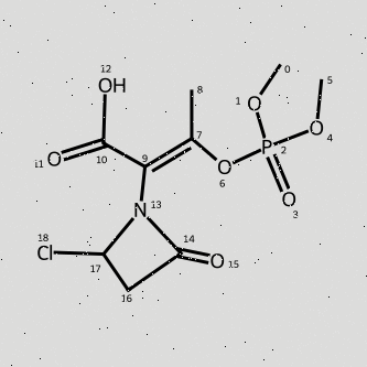 COP(=O)(OC)OC(C)=C(C(=O)O)N1C(=O)CC1Cl